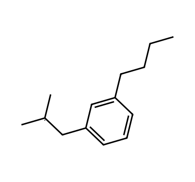 CCCCc1cccc(C[C](C)C)c1